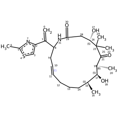 C=C(c1csc(C)n1)C1C/C=C/CCC[C@H](C)[C@H](O)[C@@H](C)C(=O)C(C)(C)[C@@H](O)CC(=O)N1